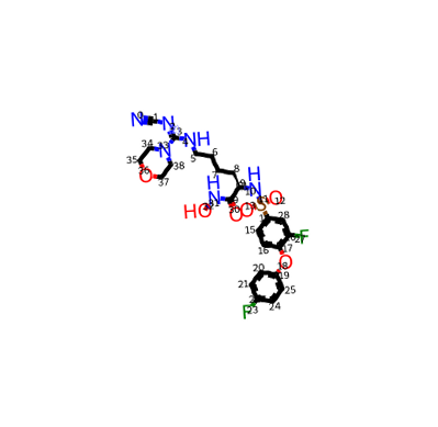 N#C/N=C(/NCCCC[C@@H](NS(=O)(=O)c1ccc(Oc2ccc(F)cc2)c(F)c1)C(=O)NO)N1CCOCC1